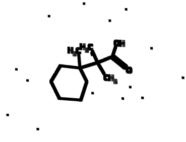 CC1(C(C)(C)C(=O)O)CCCCC1